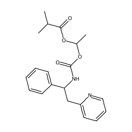 CC(OC(=O)NC(Cc1ccccn1)c1ccccc1)OC(=O)C(C)C